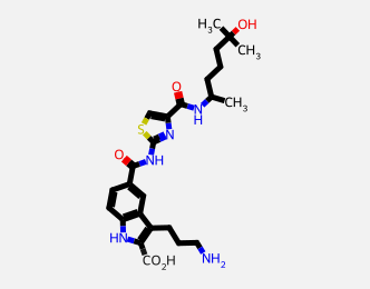 CC(CCCC(C)(C)O)NC(=O)c1csc(NC(=O)c2ccc3[nH]c(C(=O)O)c(CCCN)c3c2)n1